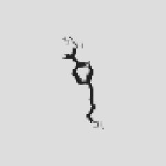 CCCCCc1ccc(C(=O)NN)nc1